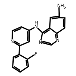 Nc1ccc2ncnc(Nc3ccnc(-c4ccccc4F)c3)c2c1